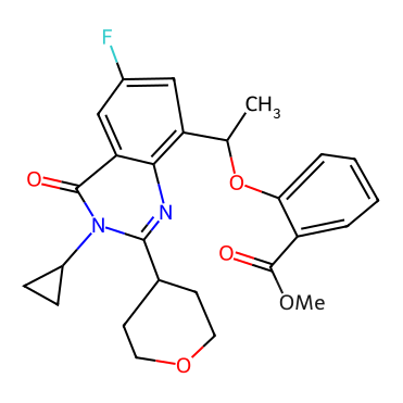 COC(=O)c1ccccc1OC(C)c1cc(F)cc2c(=O)n(C3CC3)c(C3CCOCC3)nc12